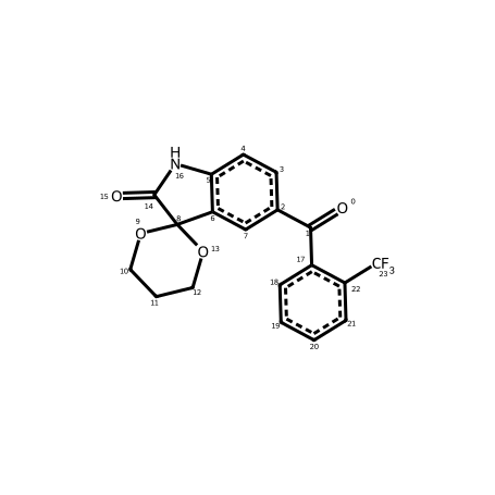 O=C(c1ccc2c(c1)C1(OCCCO1)C(=O)N2)c1ccccc1C(F)(F)F